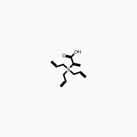 C=CC[Si](CC=C)(CC=C)C(=C)C(=O)O